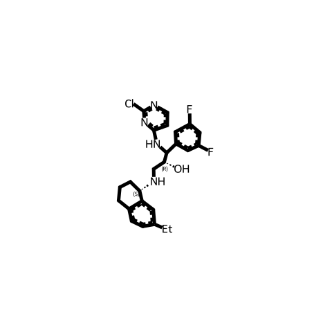 CCc1ccc2c(c1)[C@@H](NC[C@@H](O)C(Nc1ccnc(Cl)n1)c1cc(F)cc(F)c1)CCC2